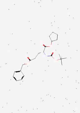 CC(C)(C)OC(=O)N[C@@H](CCC(=O)OCc1ccccc1)C(=O)OC1CCCC1